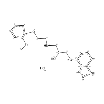 COc1ccccc1OCCNCC(O)COc1cccc2[nH]nnc12.Cl